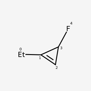 CCC1=CC1F